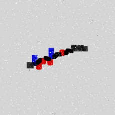 CCNC(=O)COCC(=O)NCCCOCCCNC(C)=O